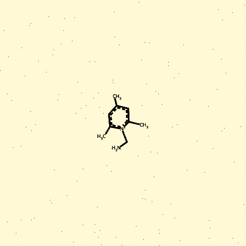 Cc1cc(C)[n+](CN)c(C)c1